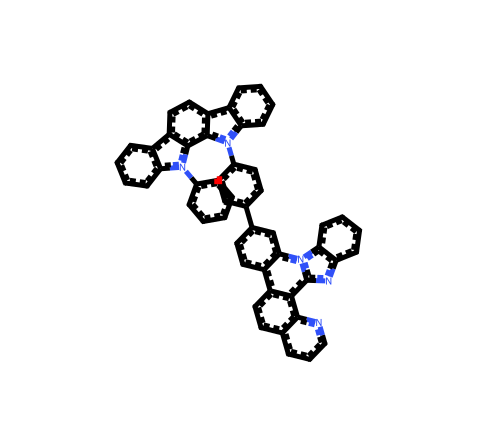 c1ccc(-n2c3ccccc3c3ccc4c5ccccc5n(-c5ccc(-c6ccc7c8ccc9cccnc9c8c8nc9ccccc9n8c7c6)cc5)c4c32)cc1